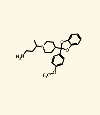 CC(CCN)N1CCC(C2(c3ccc(OC(F)(F)F)cc3)Oc3ccccc3O2)CC1